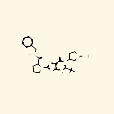 CN1CCC(n2c(C(F)(F)F)nc3sc(N4CCCC4C(=O)NCc4ccccc4)nc3c2=O)C1